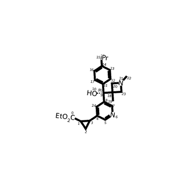 CCOC(=O)C1CC1c1cncc([C@@](O)(c2ccc(C(C)C)cc2)C2(C)CN(C)C2)c1